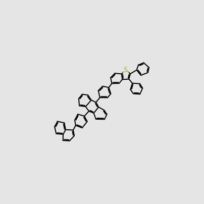 c1ccc(-c2sc3ccc(-c4ccc(-c5c6ccccc6c(-c6ccc(-c7cccc8ccccc78)cc6)c6ccccc56)cc4)cc3c2-c2ccccc2)cc1